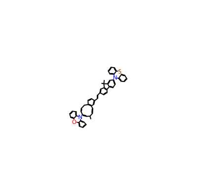 CC1/C=C\c2cc(/C=C/c3ccc4c(c3)C(C)(C)c3cc(N5c6ccccc6Sc6ccccc65)ccc3-4)ccc2C/C=C\C(N2c3ccccc3Oc3ccccc32)=C/1